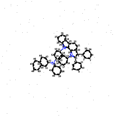 c1ccc(-c2c(-c3ccccc3)n(-c3ccccc3)c3c2ccc2c4ccccc4n(-c4ccc(N(c5ccccc5)c5ccc6ccccc6c5)cc4)c23)cc1